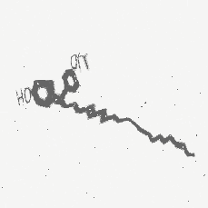 CCCCCCCCCCCCCCCCCCCCC(c1ccc(O)cc1)c1ccc(O)cc1